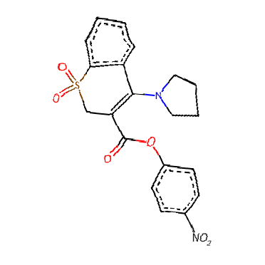 O=C(Oc1ccc([N+](=O)[O-])cc1)C1=C(N2CCCC2)c2ccccc2S(=O)(=O)C1